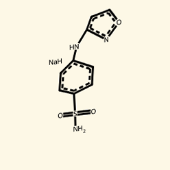 NS(=O)(=O)c1ccc(Nc2ccon2)cc1.[NaH]